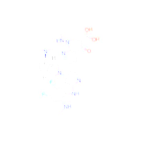 CNc1cc(F)c(F)c2c1[nH]c1ncc(-c3cnc4c(c3)c(=O)c(C(O)O)cn4NC)c(N3C[C@H]4CC[C@@H](N(C)C)[C@H]4C3)c12